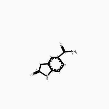 NC(=O)c1ccc2c(c1)CC(=O)N2